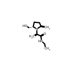 C=C1CC[C@@H](CO)N1C(=C)C(=O)NCC